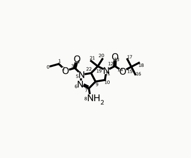 CCOC(=O)N1N=C(N)C2CN(C(=O)OC(C)(C)C)C(C)(C)C21